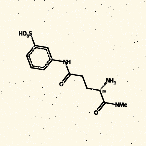 CNC(=O)[C@@H](N)CCC(=O)Nc1cccc(S(=O)(=O)O)c1